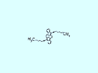 CCCCCCC#Cc1c2ccccc2c2ccc3c(C#CCCCCCC)c4ccccc4c4ccc1c2c34